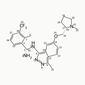 Cc1c([C@@H](N)Nc2nnc(C)c3ccc(OC[C@@H]4CCCN4C)cc23)cccc1C(F)(F)F